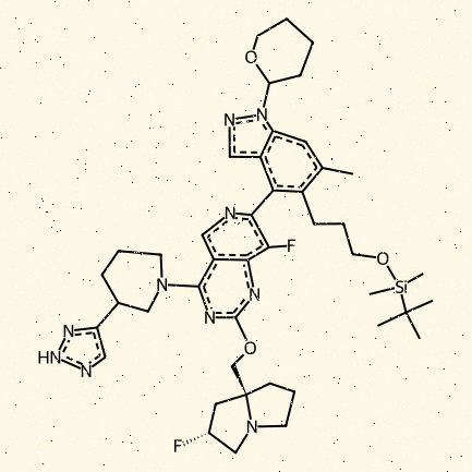 Cc1cc2c(cnn2C2CCCCO2)c(-c2ncc3c(N4CCCC(c5cn[nH]n5)C4)nc(OC[C@@]45CCCN4C[C@H](F)C5)nc3c2F)c1CCCO[Si](C)(C)C(C)(C)C